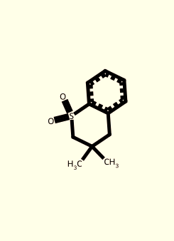 CC1(C)Cc2ccccc2S(=O)(=O)C1